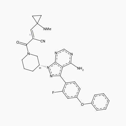 CNC1(/C=C(\C#N)C(=O)N2CCC[C@@H](n3nc(-c4ccc(Oc5ccccc5)cc4F)c4c(N)ncnc43)C2)CC1